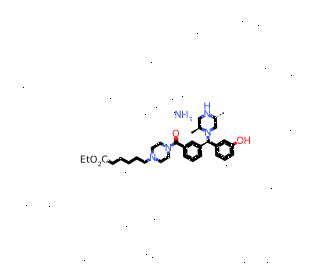 CCOC(=O)CCCCCN1CCN(C(=O)c2cccc([C@H](c3cccc(O)c3)N3C[C@@H](C)NC[C@@H]3C)c2)CC1.N